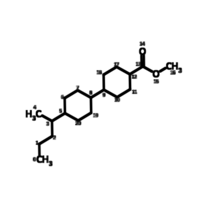 CCCC(C)C1CCC(C2CCC(C(=O)OC)CC2)CC1